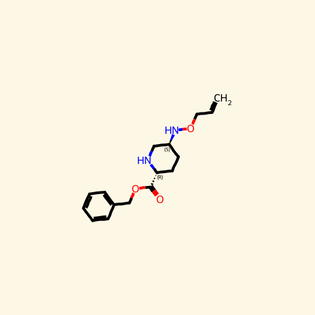 C=CCON[C@H]1CC[C@H](C(=O)OCc2ccccc2)NC1